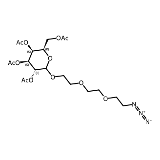 CC(=O)OC[C@H]1OC(OCCOCCOCCN=[N+]=[N-])[C@H](OC(C)=O)[C@@H](OC(C)=O)[C@H]1OC(C)=O